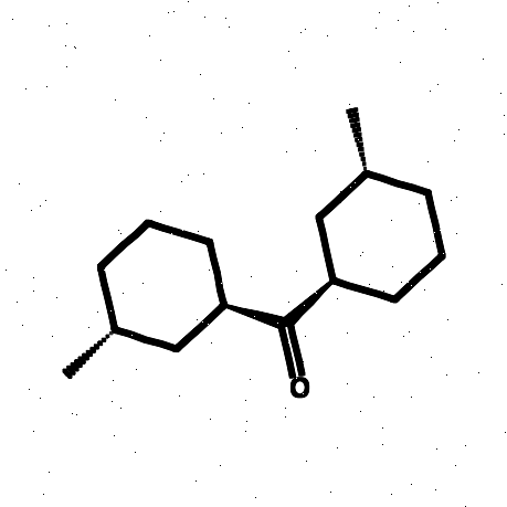 C[C@@H]1CCC[C@@H](C(=O)[C@@H]2CCC[C@@H](C)C2)C1